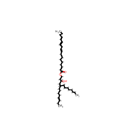 CCCCCC=CCC=CCCCCCCCC(=O)OCCC(O)CC(CCCCCCCC)CCCCCCCC